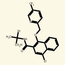 CCC(C)(NC(=O)c1cc(Cl)c2ccccc2c1OCc1ccc(C(F)(F)F)cn1)C(=O)O